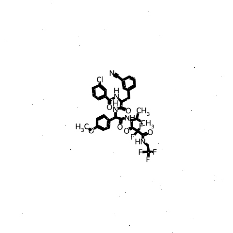 COc1ccc(C(NC(=O)C(Cc2cccc(C#N)c2)NC(=O)c2cccc(Cl)c2)C(=O)NC(C(=O)C(F)(F)C(=O)NCC(F)(F)F)C(C)C)cc1